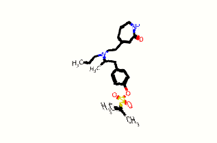 CCCN(CCC1CCCNC(=O)C1)C(C)Cc1ccc(OS(=O)(=O)C(C)C)cc1